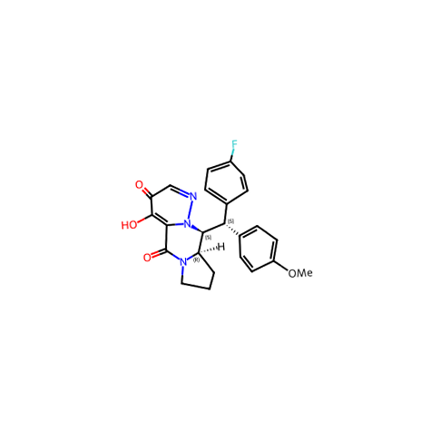 COc1ccc([C@@H](c2ccc(F)cc2)[C@H]2[C@H]3CCCN3C(=O)c3c(O)c(=O)cnn32)cc1